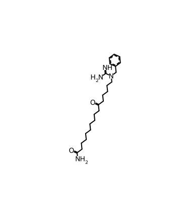 N=C(N)N(CCCCCC(=O)CCCCCCCCCC(N)=O)Cc1ccccc1